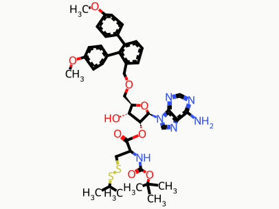 COc1ccc(-c2cccc(COC[C@H]3O[C@@H](n4cnc5c(N)ncnc54)[C@H](OC(=O)C(CSSC(C)C)NC(=O)OC(C)(C)C)[C@@H]3O)c2-c2ccc(OC)cc2)cc1